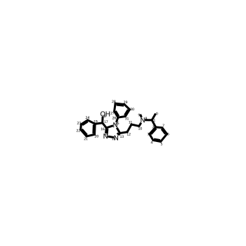 CC(c1ccccc1)N(C)CCCc1nnc(C(O)c2ccccc2)n1-c1ccccc1